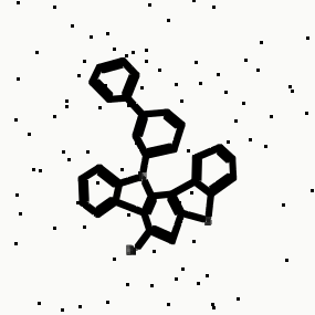 Brc1cc2sc3ccccc3c2c2c1c1ccccc1n2-c1cccc(-c2ccccc2)c1